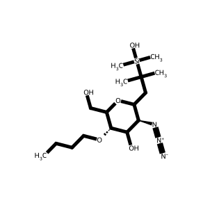 CCCCO[C@@H]1C(CO)OC(CC(C)(C)[Si](C)(C)O)[C@@H](N=[N+]=[N-])C1O